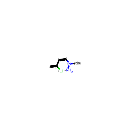 C=C(Cl)/C=C\N(N)C(C)(C)C